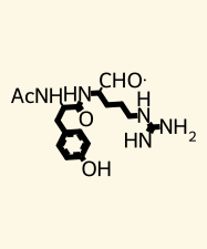 CC(=O)N[C@@H](Cc1ccc(O)cc1)C(=O)N[C@H]([C]=O)CCCNC(=N)N